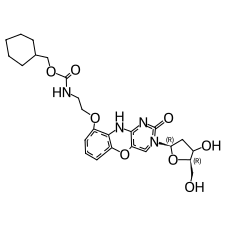 O=C(NCCOc1cccc2c1Nc1nc(=O)n([C@H]3CC(O)[C@@H](CO)O3)cc1O2)OCC1CCCCC1